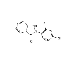 Fc1cc(Cl)ccc1N1NC2C=CC=CC2C1Cl